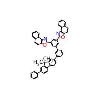 CC1(C)c2cc(-c3ccccc3)ccc2-c2ccc(-c3cccc(-c4cc(-c5nc6c(ccc7ccccc76)o5)cc(-c5nc6c(ccc7ccccc76)o5)c4)c3)cc21